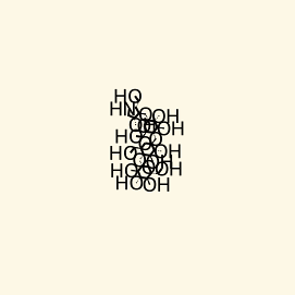 OC[C@H]1NC[C@@H](O)[C@@H]1O[C@H]1O[C@H](CO)[C@@H](O[C@@H]2O[C@H](CO)[C@@H](O[C@@H]3O[C@H](CO)[C@@H](O)[C@H](O)[C@H]3O)[C@H](O)[C@H]2O)[C@H](O)[C@H]1O